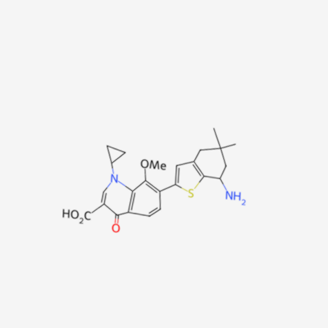 COc1c(-c2cc3c(s2)C(N)CC(C)(C)C3)ccc2c(=O)c(C(=O)O)cn(C3CC3)c12